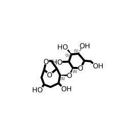 OCC1O[C@@H](O[C@H]2C(O)CC(O)CC3OCC2O3)C(O)[C@@H](O)[C@@H]1O